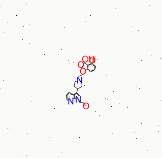 COCCn1cc(C2CCN(CCOc3cccc(OC)c3C(=O)O)CC2)c2cccnc21